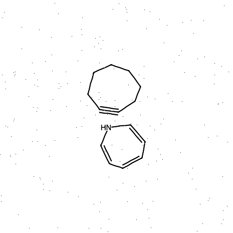 C1#CCCCCCC1.C1=CC=CNC=C1